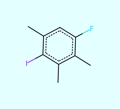 Cc1cc(F)c(C)c(C)c1I